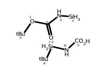 CC(C)(C)OC(=O)N[SiH3].CC(C)(C)[SiH2]NC(=O)O